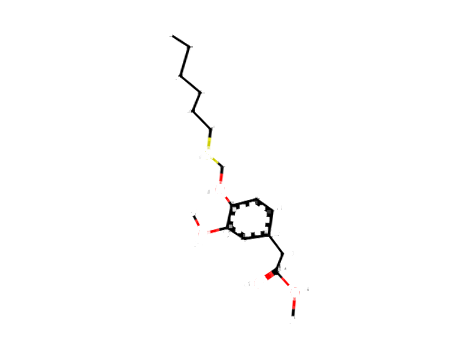 CCCCCCSCOc1ccc(CC(=O)OC)cc1OC